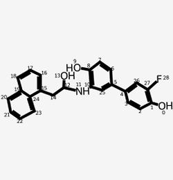 Oc1ccc(-c2ccc(O)c(NC(O)Cc3cccc4ccccc34)c2)cc1F